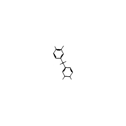 CC(C)c1cc(C(C)(C)C2=CC(C(C)C)C(O)C=C2)ccc1O